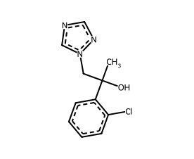 CC(O)(Cn1cncn1)c1ccccc1Cl